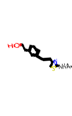 CC(=O)Nc1nc(/C=C/c2cccc(CCO)c2)cs1